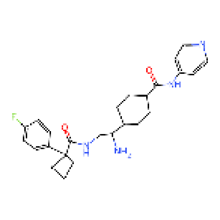 NC(CNC(=O)C1(c2ccc(F)cc2)CCC1)C1CCC(C(=O)Nc2ccncc2)CC1